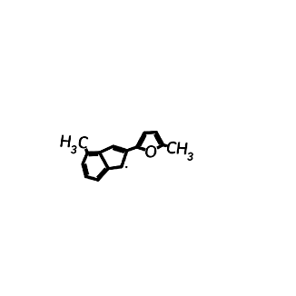 Cc1ccc(C2=Cc3c(C)cccc3[CH]2)o1